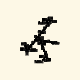 COCCOCCC(=O)NC(C(=O)NCCOCCOCOC(CO)C(O)C(O)CNC(C)=O)C(=O)NC(CCC(=O)NCCOCCOC1OC(CO)C(O)C(O)C1NC(C)=O)C(=O)NCCOCCOC1OC(CO)C(O)C(O)C1NC(C)=O